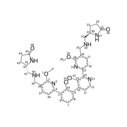 COc1nc(-c2cccc(-c3ccnc(-c4ccc(CNC[C@H]5CCC(=O)N5)c(OC)n4)c3Cl)c2Cl)ccc1CNC[C@@H]1CCC(=O)N1